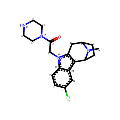 CN1C2CCC1c1c(n(CC(=O)N3CCNCC3)c3ccc(Cl)cc13)C2